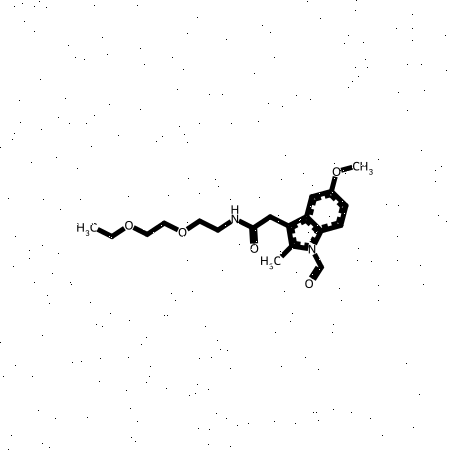 CCOCCOCCNC(=O)Cc1c(C)n(C=O)c2ccc(OC)cc12